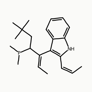 C/C=C\c1[nH]c2ccccc2c1/C(=C\C)C(CC(C)(C)C)P(C)C